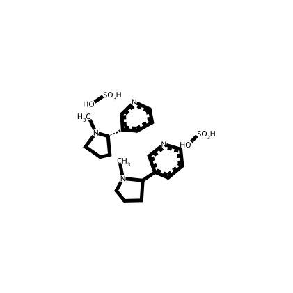 CN1CCCC1c1cccnc1.CN1CCC[C@H]1c1cccnc1.O=S(=O)(O)O.O=S(=O)(O)O